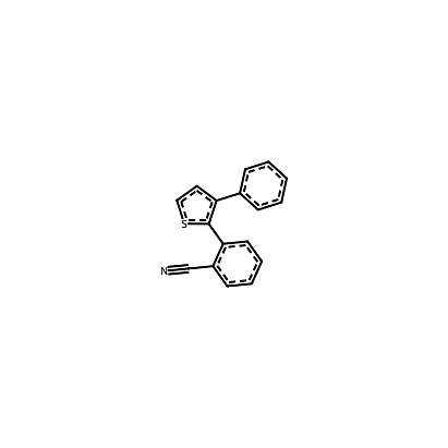 N#Cc1ccccc1-c1sccc1-c1ccccc1